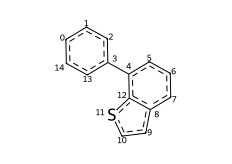 c1ccc(-c2cccc3ccsc23)cc1